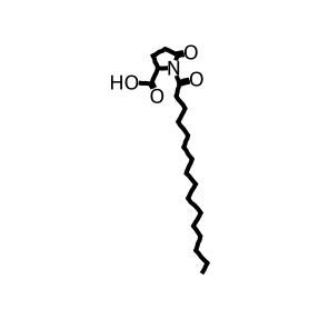 CCCCCCCCCCCCCCCC(=O)N1C(=O)CCC1C(=O)O